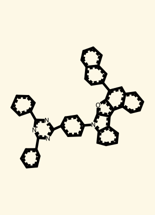 c1ccc(-c2nc(-c3ccccc3)nc(-c3ccc(-n4c5ccccc5c5c6c(oc54)c(-c4ccc5ccccc5c4)cc4ccccc46)cc3)n2)cc1